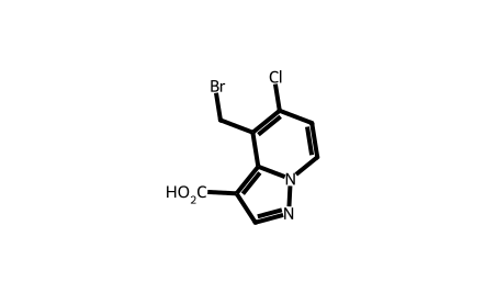 O=C(O)c1cnn2ccc(Cl)c(CBr)c12